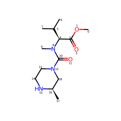 COC(=O)[C@H](C(C)C)N(C)C(=O)N1CCN[C@H](C)C1